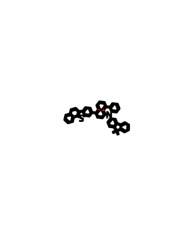 CC1(C)c2ccccc2-c2cc(N(c3ccc(-c4ccc5c(c4)sc4c6ccccc6ccc54)cc3)c3ccccc3-c3ccccc3)ccc21